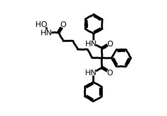 O=C(CCCCCC(C(=O)Nc1ccccc1)(C(=O)Nc1ccccc1)c1ccccc1)NO